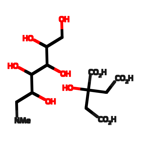 CNCC(O)C(O)C(O)C(O)CO.O=C(O)CC(O)(CC(=O)O)C(=O)O